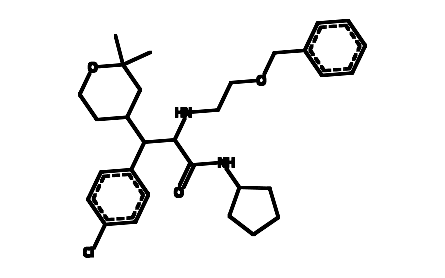 CC1(C)CC(C(c2ccc(Cl)cc2)C(NCCOCc2ccccc2)C(=O)NC2CCCC2)CCO1